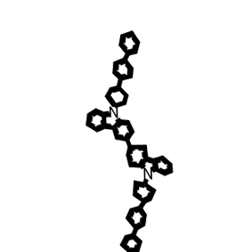 C1=C(c2ccc(-c3ccccc3)cc2)CCC(n2c3ccccc3c3cc(-c4ccc5c(c4)c4ccccc4n5-c4ccc(-c5ccc(-c6ccccc6)cc5)cc4)ccc32)=C1